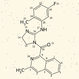 Cc1cc2ccccc2c(C(=O)N2CCN=C2Nc2cc(F)ccc2C)n1